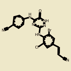 N#C/C=C/c1cc(Cl)c(Nc2n[nH]c(=O)c(Nc3ccc(C#N)cc3)n2)c(Br)c1